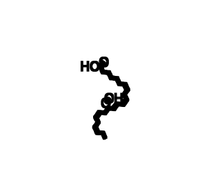 CC/C=C\C/C=C\CC(/C=C/C=C\C/C=C\CCCCCC(=O)O)OO